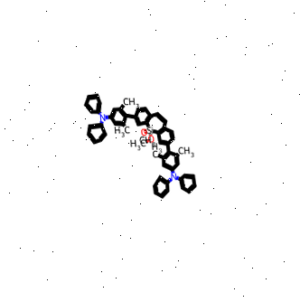 CO[Si]1(OC)c2cc(-c3c(C)cc(N(c4ccccc4)c4ccccc4)cc3C)ccc2C=Cc2ccc(-c3c(C)cc(N(c4ccccc4)c4ccccc4)cc3C)cc21